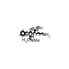 CN[C@@H](C)C(=O)N[C@@H](Cc1ccccc1)C(=O)N[C@@H](CCCCN)C(=O)OC(C)(C)C